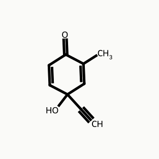 C#CC1(O)C=CC(=O)C(C)=C1